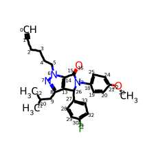 C#CCCCCn1nc(CC(C)C)c2c1C(=O)N(c1ccc(OC)cc1)C2c1ccc(F)cc1